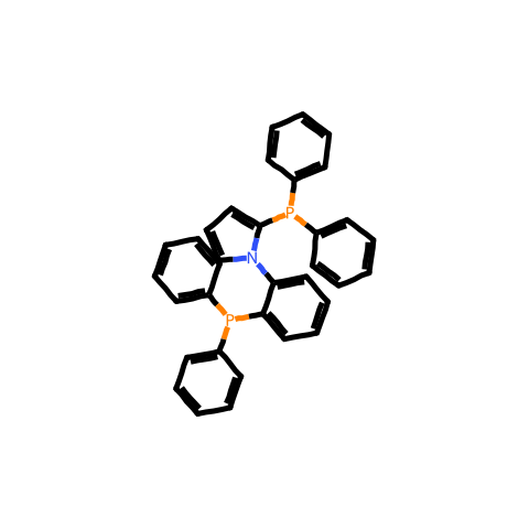 c1ccc(P(c2ccccc2)c2ccccc2-n2cccc2P(c2ccccc2)c2ccccc2)cc1